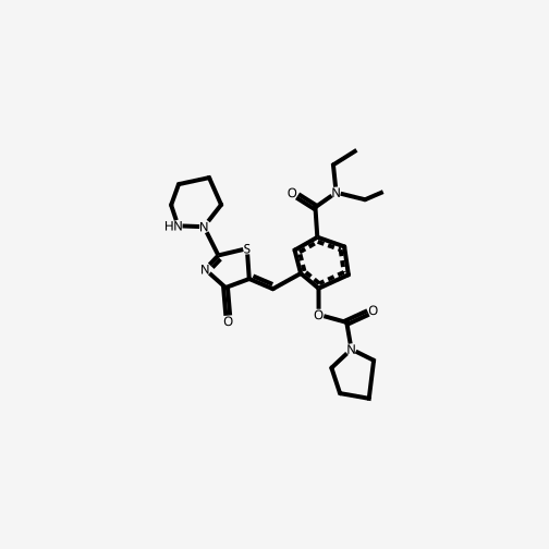 CCN(CC)C(=O)c1ccc(OC(=O)N2CCCC2)c(/C=C2\SC(N3CCCCN3)=NC2=O)c1